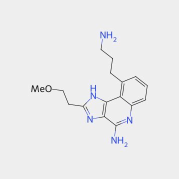 COCCc1nc2c(N)nc3cccc(CCCN)c3c2[nH]1